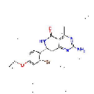 CCOc1ccc([C@H]2Cc3nc(N)nc(C)c3C(=O)N2)c(Br)c1